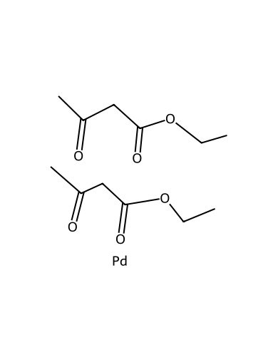 CCOC(=O)CC(C)=O.CCOC(=O)CC(C)=O.[Pd]